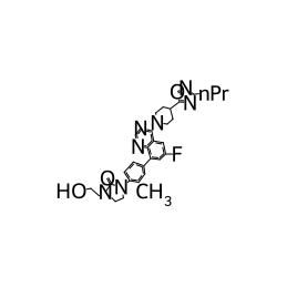 CCCc1noc(C2CCN(c3ncnc4c(-c5ccc(N6CCN(CCO)C6=O)c(C)c5)cc(F)cc34)CC2)n1